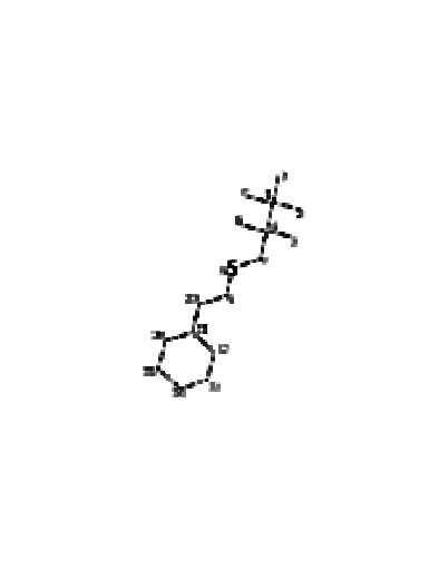 CC(C)(C)C(C)(C)CSCCC1CCCCC1